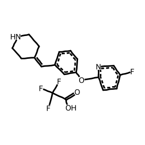 Fc1ccc(Oc2cccc(C=C3CCNCC3)c2)nc1.O=C(O)C(F)(F)F